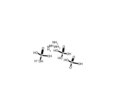 N.N.N.N.O=P(O)(O)O.O=P(O)(O)O.O=P([O-])(O)O.[H+]